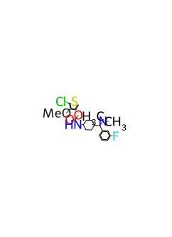 COc1c(OC(=O)NC2CCC(C(c3cccc(F)c3)N(C)C)CC2)csc1Cl